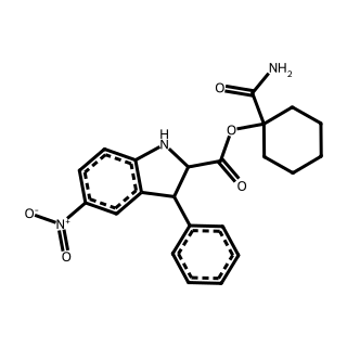 NC(=O)C1(OC(=O)C2Nc3ccc([N+](=O)[O-])cc3C2c2ccccc2)CCCCC1